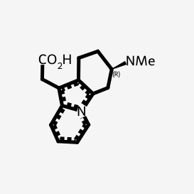 CN[C@@H]1CCc2c(CC(=O)O)c3ccccn3c2C1